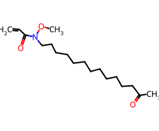 C=CC(=O)N(CCCCCCCCCCCCC(C)=O)OC